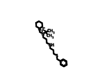 CC(C)(C)N(CCCNCCCSCc1ccccc1)CC1CCCCC1